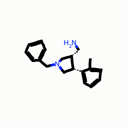 Cc1ccccc1[C@@H]1CN(Cc2ccccc2)C[C@@H]1CN